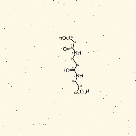 CCCCCCCCCC(=O)NCCC(=O)NCCC(=O)O